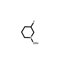 CSN1CCCC(F)C1